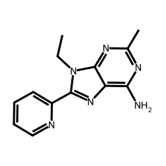 CCn1c(-c2ccccn2)nc2c(N)nc(C)nc21